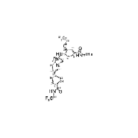 CC(C)(C)NC(=O)c1ccc(Nc2nc3ccc(-c4ccc(C(=O)NCC(F)(F)F)cc4)cn3n2)c(OCC(F)(F)F)c1